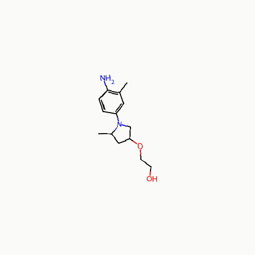 Cc1cc(N2CC(OCCO)CC2C)ccc1N